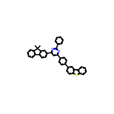 CC1(C)c2ccccc2-c2ccc(-c3cc(-c4ccc(-c5ccc6sc7ccccc7c6c5)cc4)nc(-c4ccccc4)n3)cc21